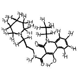 [2H]Oc1c(C(=O)N([2H])CCC([2H])([2H])N2C([2H])([2H])C([2H])([2H])C([2H])([2H])C([2H])([2H])C2([2H])[2H])c(=O)n(C([2H])([2H])C([2H])([2H])[2H])c2c([2H])c([2H])c([2H])c([2H])c12